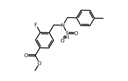 COC(=O)c1ccc(CN(Cc2ccc(C)cc2)[SH](=O)=O)c(F)c1